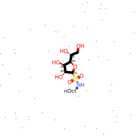 CCCCCCCCNS(=O)(=O)[C@@H]1O[C@H]([C@H](O)CO)[C@H](O)[C@H]1O